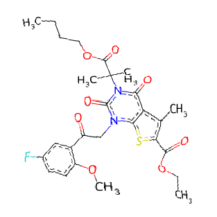 CCCCOC(=O)C(C)(C)n1c(=O)c2c(C)c(C(=O)OCC)sc2n(CC(=O)c2cc(F)ccc2OC)c1=O